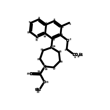 CCOC(=O)COc1c(C)cc2cccnc2c1N1CCCN(C(=O)OC(C)(C)C)CC1